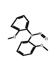 COc1ccccc1N(N=O)c1ccccc1OC